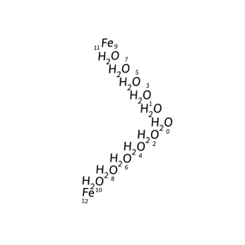 O.O.O.O.O.O.O.O.O.O.O.[Fe].[Fe]